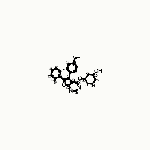 CCc1ccc(-c2c(-c3ccccc3F)oc3ncnc(OC4CCCC(O)C4)c23)cc1